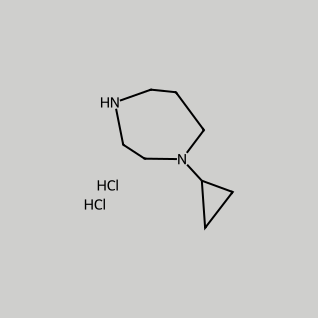 C1CNCCN(C2CC2)C1.Cl.Cl